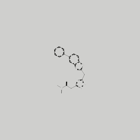 CN(C)C(=O)Cc1nnc(Cc2nc3ccc(-c4ccccc4)cc3s2)o1